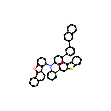 c1cc(-c2ccc(N(c3ccccc3-c3ccc4c(c3)sc3ccccc34)c3cccc4oc5c6ccccc6ccc5c34)cc2)cc(-c2ccc3ccccc3c2)c1